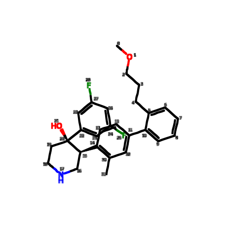 COCCCc1ccccc1-c1ccc([C@H]2CNCC[C@]2(O)c2cc(F)cc(F)c2)c(C)c1